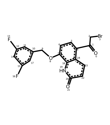 O=C(CBr)c1ccc(OCc2cc(F)cc(F)c2)c2[nH]c(=O)ccc12